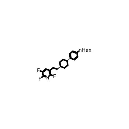 CCCCCCc1ccc([C@H]2CC[C@H](CCc3cc(F)c(F)nc3F)CC2)cc1